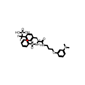 CN(C)c1cccc(OCCCNC(=O)[C@H](Cc2ccc(C(F)(F)P(=O)(O)O)cc2)NS(=O)(=O)c2ccccc2)c1